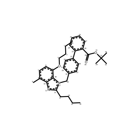 CCCCOc1ccc(C)c2nc(CCCC)n(Cc3ccc(-c4ccccc4C(=O)OC(C)(C)C)cc3)c12